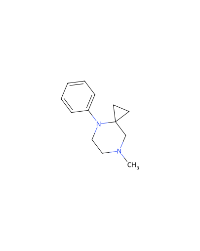 CN1CCN(c2ccccc2)C2(CC2)C1